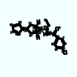 CC[C@@H](NC(=O)c1ccc(Cl)cc1)[C@H]1[C@@H]2C[C@@H](n3cccn3)C[C@@H]21